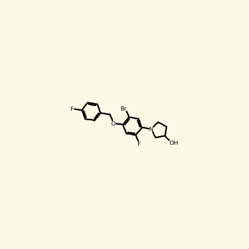 OC1CCN(c2cc(Br)c(OCc3ccc(F)cc3)cc2F)C1